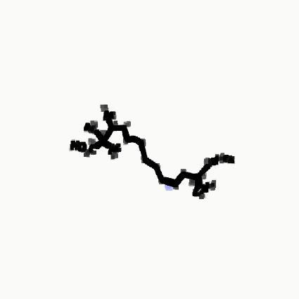 CCCCCC[C@@H](O)C/C=C\CCCCCC(C(C)=O)C(C(C)=O)(C(C)=O)C(=O)O